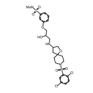 CNS(=O)(=O)c1cccc(OCC(O)CNC2COC3(CCN(S(=O)(=O)c4cc(Cl)ccc4Cl)CC3)C2)c1